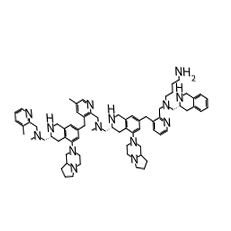 Cc1cnc(CN(C)C[C@H]2Cc3c(cc(Cc4cccnc4CN(CCCCN)C[C@H]4Cc5ccccc5CN4)cc3N3CCN4CCCC4C3)CN2)c(Cc2cc3c(c(N4CCN5CCCC5C4)c2)C[C@H](CN(C)Cc2ncccc2C)NC3)c1